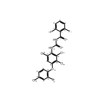 O=C(NC(=O)c1c(F)cccc1F)Nc1c(Cl)cc(Oc2ccc(Cl)cc2Br)c(Cl)c1Cl